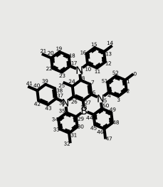 Cc1ccc(N2C3=CC(N(c4ccc(C)cc4)c4ccc(C)cc4)C(C)C4=C3B(c3cc(C)ccc3N4C3=CCC(C)C=C3)c3cc(C)ccc32)cc1